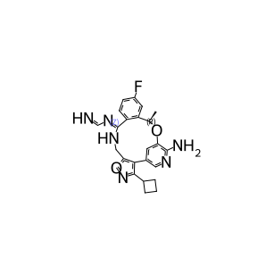 C[C@H]1Oc2cc(cnc2N)-c2c(C3CCC3)noc2CN/C(=N\C=N)c2ccc(F)cc21